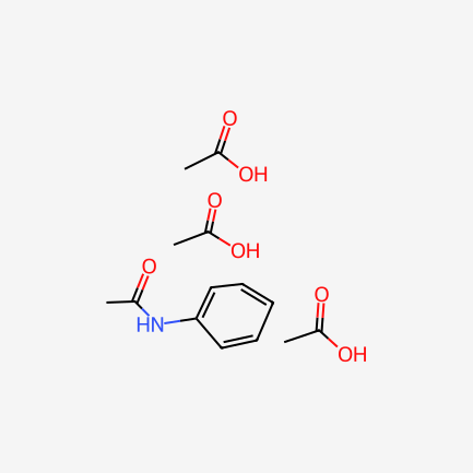 CC(=O)Nc1ccccc1.CC(=O)O.CC(=O)O.CC(=O)O